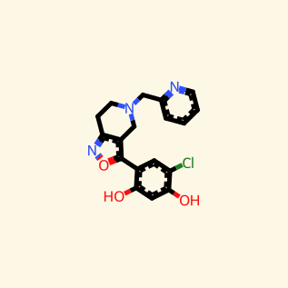 Oc1cc(O)c(-c2onc3c2CN(Cc2ccccn2)CC3)cc1Cl